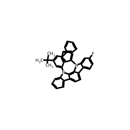 CC(C)(C)c1cc(-c2ccccc2)cc(-n2c3ccccc3c3ccc4c5ccc(F)cc5n(-c5ccccc5)c4c32)c1